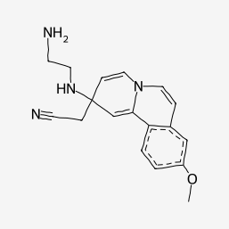 COc1ccc2c(c1)C=CN1C=CC(CC#N)(NCCN)C=C21